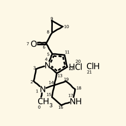 CN1CCn2c(C(=O)C3CC3)ccc2C12CCNCC2.Cl.Cl